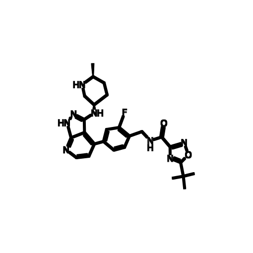 C[C@H]1CC[C@@H](Nc2n[nH]c3nccc(-c4ccc(CNC(=O)c5noc(C(C)(C)C)n5)c(F)c4)c23)CN1